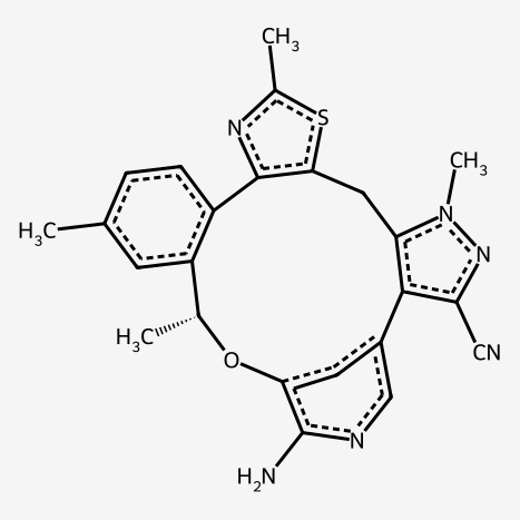 Cc1ccc2c(c1)[C@@H](C)Oc1cc(cnc1N)-c1c(C#N)nn(C)c1Cc1sc(C)nc1-2